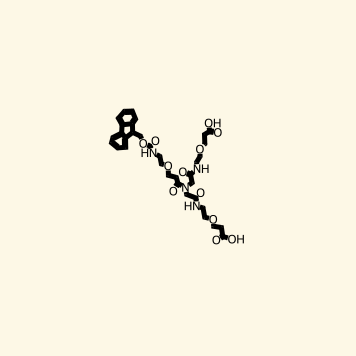 O=C(O)CCOCCNC(=O)CN(CC(=O)NCCOCCC(=O)O)C(=O)CCOCCNC(=O)OCC1c2ccccc2-c2ccccc21